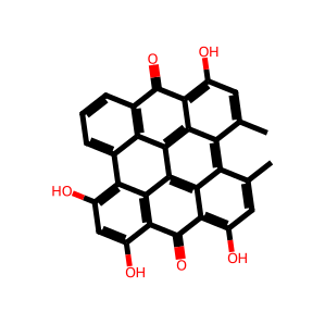 Cc1cc(O)c2c(=O)c3cccc4c5c(O)cc(O)c6c(=O)c7c(O)cc(C)c8c1c2c(c34)c(c65)c78